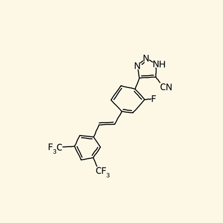 N#Cc1[nH]nnc1-c1ccc(/C=C/c2cc(C(F)(F)F)cc(C(F)(F)F)c2)cc1F